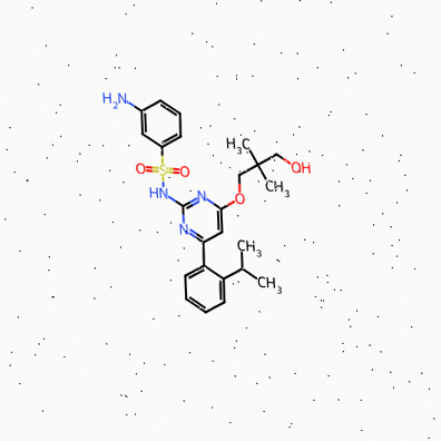 CC(C)c1ccccc1-c1cc(OCC(C)(C)CO)nc(NS(=O)(=O)c2cccc(N)c2)n1